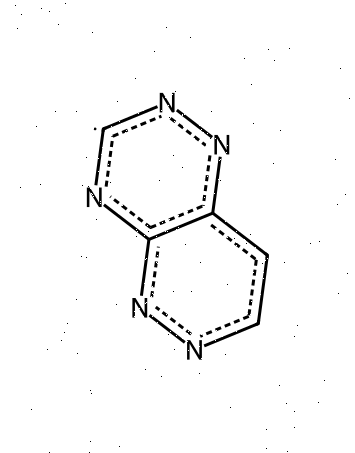 [c]1nnc2ccnnc2n1